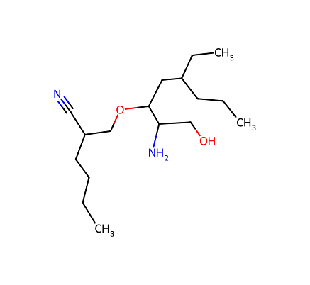 CCCCC(C#N)COC(CC(CC)CCC)C(N)CO